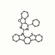 c1ccc(-c2nc(-n3c4ccccc4c4ccc5c6ccccc6sc5c43)nc3oc4ccccc4c23)cc1